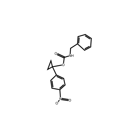 O=C(NCc1ccccc1)OC1(c2ccc([N+](=O)[O-])cc2)CC1